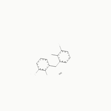 C=C.Nc1cccc(Cc2cccc(N)c2Cl)c1Cl